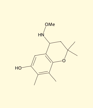 CONC1CC(C)(C)Oc2c1cc(O)c(C)c2C